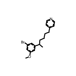 COc1cc(Br)cc(C(C)CCCCc2ccncc2)c1